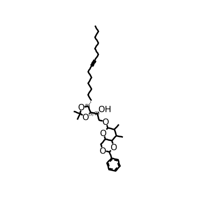 CCCCCCC#CCCCCCC[C@H]1OC(C)(C)O[C@H]1[C@@H](O)COC1OC2COC(c3ccccc3)OC2C(C)C1C